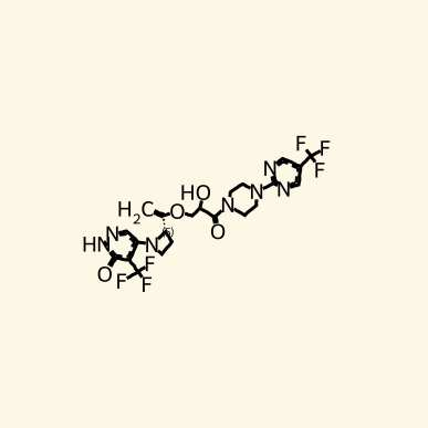 C=C(OCC(O)C(=O)N1CCN(c2ncc(C(F)(F)F)cn2)CC1)[C@@H]1CCN1c1cn[nH]c(=O)c1C(F)(F)F